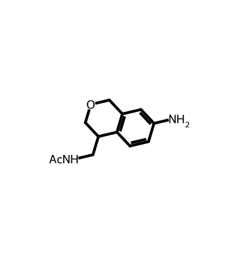 CC(=O)NCC1COCc2cc(N)ccc21